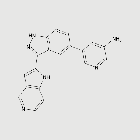 Nc1cncc(-c2ccc3[nH]nc(-c4cc5cnccc5[nH]4)c3c2)c1